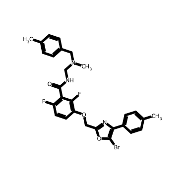 Cc1ccc(CN(C)CNC(=O)c2c(F)ccc(OCc3nc(-c4ccc(C)cc4)c(Br)o3)c2F)cc1